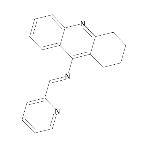 C(=Nc1c2c(nc3ccccc13)CCCC2)c1ccccn1